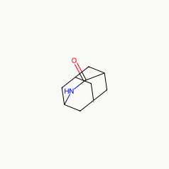 O=C1NC2C[C]3CC(C2)CC1C3